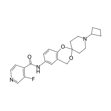 O=C(Nc1ccc2c(c1)COC1(CCN(C3CCC3)CC1)O2)c1ccncc1F